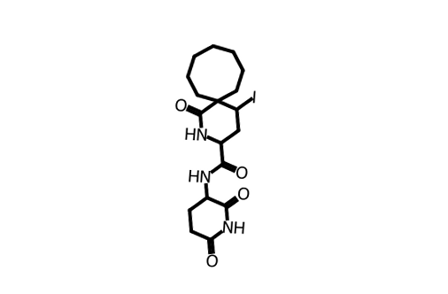 O=C1CCC(NC(=O)C2CC(I)C3(CCCCCCC3)C(=O)N2)C(=O)N1